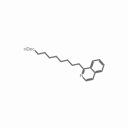 CCCCCCCCCCCCCCCCCCc1nccc2ccccc12